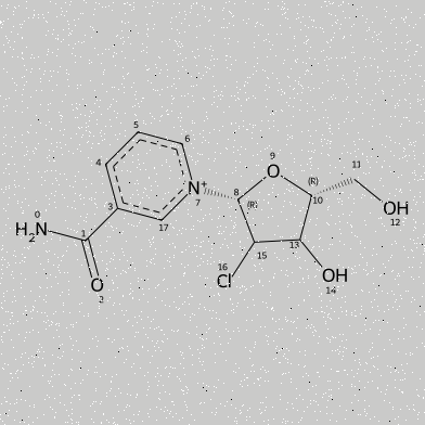 NC(=O)c1ccc[n+]([C@@H]2O[C@H](CO)C(O)C2Cl)c1